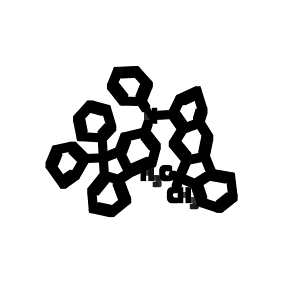 CC1(C)c2ccccc2-c2cc3cccc(N(c4ccccc4)c4ccc5c(c4)C(c4ccccc4)(c4ccccc4)c4ccccc4-5)c3cc21